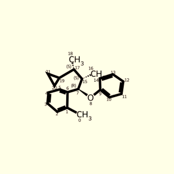 Cc1ccccc1[C@H](Oc1ccccc1)[C@@H](C)[C@@H](C)C1CC1